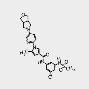 Cc1cc(C(=O)Nc2cc(Cl)cc(NS(C)(=O)=O)c2)cn1-c1ccc(N2CC3COCC3C2)cn1